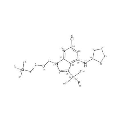 C[Si](C)(C)CCOCn1cc(C(F)(F)F)c2c(NC3CCCC3)cc(Cl)nc21